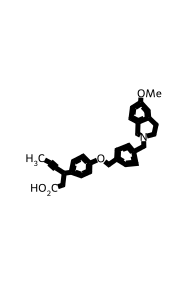 CC#CC(CC(=O)O)c1ccc(OCc2ccc(CN3CCc4cc(OC)ccc4C3)cc2)cc1